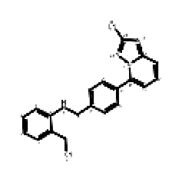 N#CCc1ccccc1NCc1ccc(-c2cccc3nc(N)nn23)cc1